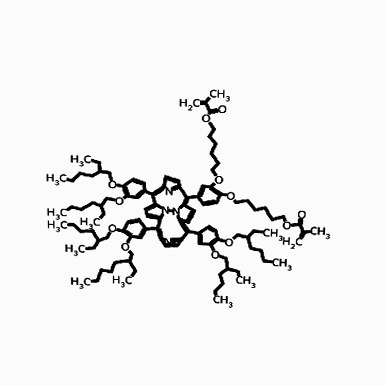 C=C(C)C(=O)OCCCCCCOc1ccc(-c2c3nc(c(-c4ccc(OCC(CC)CCCC)c(OCC(CC)CCCC)c4)c4ccc5c(-c6ccc(OCC(CC)CCCC)c(OCC(CC)CCCCC)c6)c6nc(c(-c7ccc(OCC(CC)CCCC)c(OCC(CC)CCCC)c7)c7ccc2n7n45)C=C6)C=C3)cc1OCCCCCCOC(=O)C(=C)C